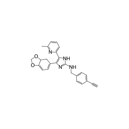 C#Cc1ccc(CNc2nc(C3=CC=C4OCOC4C3)c(-c3cccc(C)n3)[nH]2)cc1